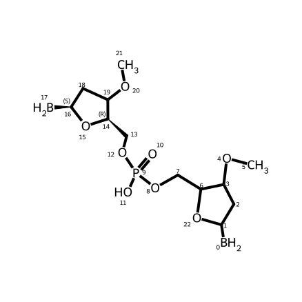 BC1CC(OC)C(COP(=O)(O)OC[C@H]2O[C@@H](B)CC2OC)O1